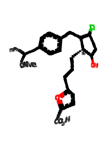 CCCC(OC)c1ccc(CC2C(Cl)CC(O)[C@@H]2CCCc2ccc(C(=O)O)o2)cc1